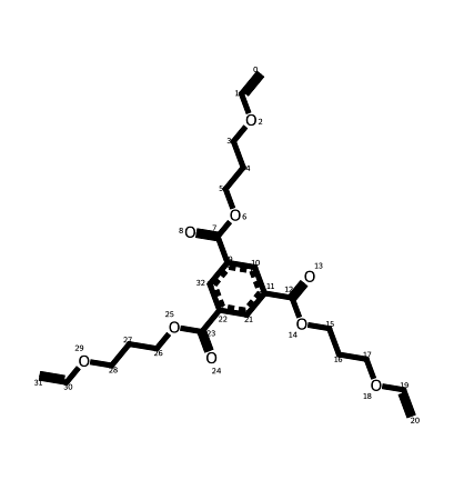 C=COCCCOC(=O)c1cc(C(=O)OCCCOC=C)cc(C(=O)OCCCOC=C)c1